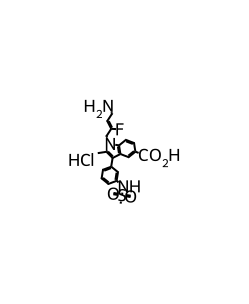 Cc1c(-c2cccc(NS(C)(=O)=O)c2)c2cc(C(=O)O)ccc2n1CC(F)=CCN.Cl